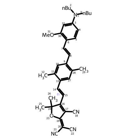 CCCCN(CCCC)c1ccc(C=Cc2cc(C)c(/C=C/C3=C(C#N)C(=C(C#N)C#N)OC3(C)C)cc2C)c(OC)c1